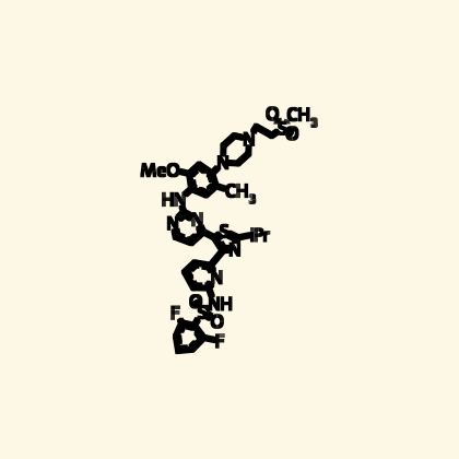 COc1cc(N2CCN(CCS(C)(=O)=O)CC2)c(C)cc1Nc1nccc(-c2sc(C(C)C)nc2-c2cccc(NS(=O)(=O)c3c(F)cccc3F)n2)n1